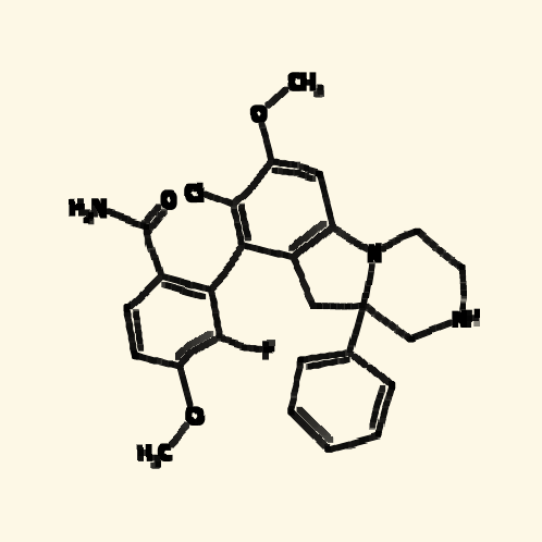 COc1ccc(C(N)=O)c(-c2c(Cl)c(OC)cc3c2CC2(c4ccccc4)CNCCN32)c1F